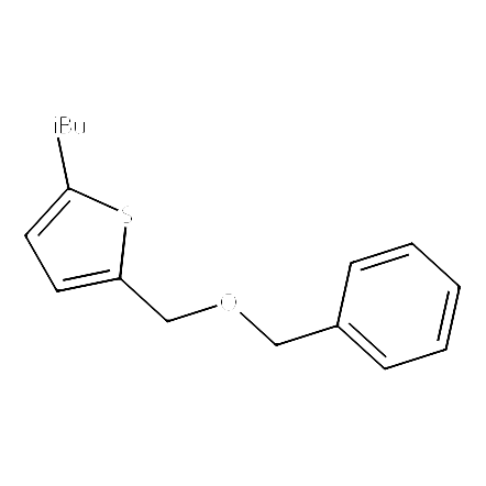 CCC(C)c1ccc(COCc2ccccc2)s1